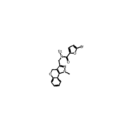 CCN(Cc1nn(C)c2c1COc1ccccc1-2)C(=O)c1ccc(Br)o1